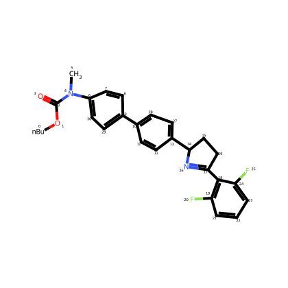 CCCCOC(=O)N(C)c1ccc(-c2ccc(C3CCC(c4c(F)cccc4F)=N3)cc2)cc1